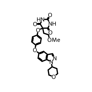 COCCC1(Oc2ccc(Oc3ccc4c(cnn4C4CCOCC4)c3)cc2)C(=O)NC(=O)NC1=O